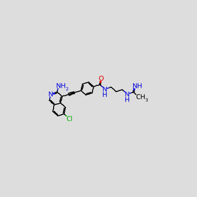 CC(=N)NCCCNC(=O)c1ccc(C#Cc2c(N)ncc3ccc(Cl)cc23)cc1